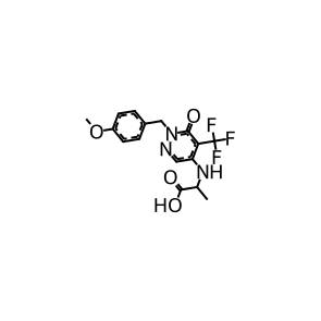 COc1ccc(Cn2ncc(NC(C)C(=O)O)c(C(F)(F)F)c2=O)cc1